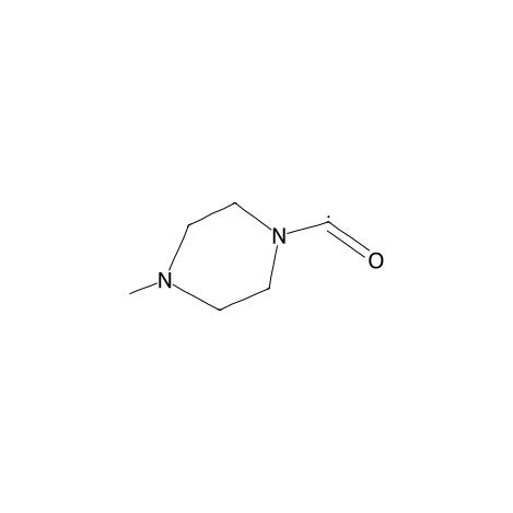 CN1CCN([C]=O)CC1